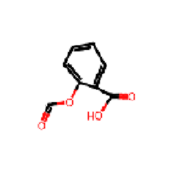 O=[C]Oc1ccccc1C(=O)O